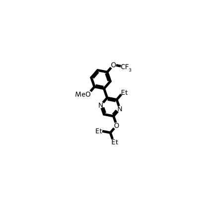 CCc1nc(OC(CC)CC)cnc1-c1cc(OC(F)(F)F)ccc1OC